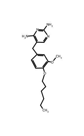 CCCCCCOc1ccc(Cc2cnc(N)nc2N)cc1OC